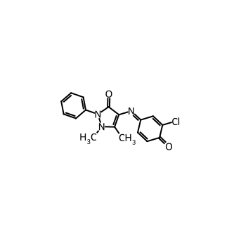 Cc1c(/N=C2\C=CC(=O)C(Cl)=C2)c(=O)n(-c2ccccc2)n1C